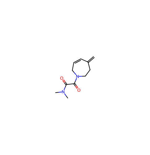 C=C1C=CCN(C(=O)C(=O)N(C)C)CC1